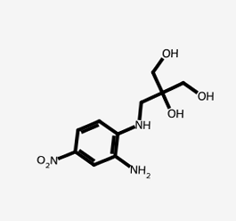 Nc1cc([N+](=O)[O-])ccc1NCC(O)(CO)CO